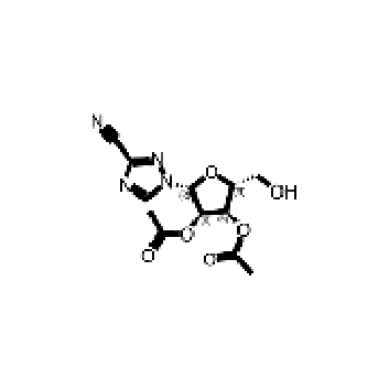 CC(=O)O[C@@H]1[C@H](OC(C)=O)[C@@H](CO)O[C@H]1n1cnc(C#N)n1